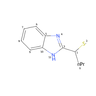 CCCC([S])c1nc2ccccc2[nH]1